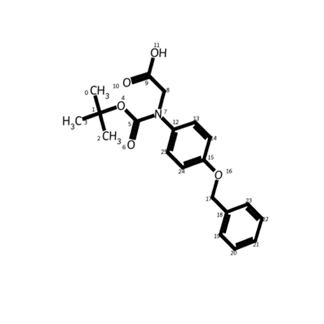 CC(C)(C)OC(=O)N(CC(=O)O)c1ccc(OCc2ccccc2)cc1